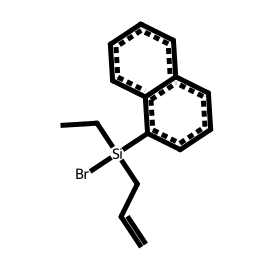 C=CC[Si](Br)(CC)c1cccc2ccccc12